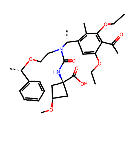 CCOc1cc([C@@H](C)N(CCO[C@@H](C)c2ccccc2)C(=O)N[C@]2(C(=O)O)C[C@H](OC)C2)c(C)c(OCC)c1C(C)=O